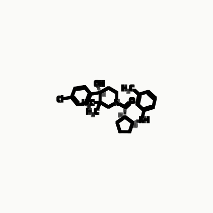 Cc1cccc(N[C@@H]2CCC[C@@H]2C(=O)N2CC[C@](O)(c3ccc(Cl)cc3)C(C)(C)C2)c1